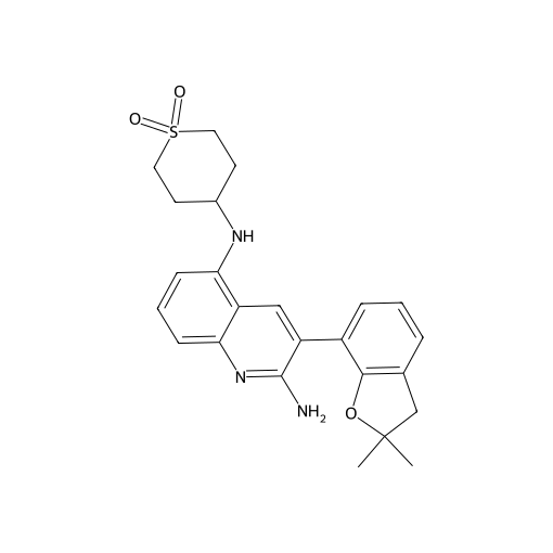 CC1(C)Cc2cccc(-c3cc4c(NC5CCS(=O)(=O)CC5)cccc4nc3N)c2O1